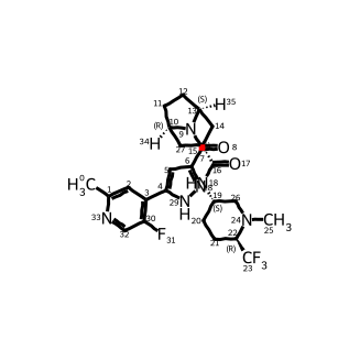 Cc1cc(-c2cc(C(=O)N3[C@@H]4CC[C@H]3C[C@H](C(=O)N[C@H]3CC[C@H](C(F)(F)F)N(C)C3)C4)n[nH]2)c(F)cn1